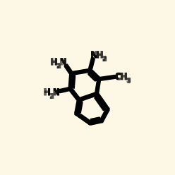 Cc1c(N)c(N)c(N)c2ccccc12